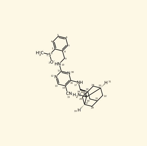 C[S+]([O-])c1ccccc1CNc1ncc(C#N)c(NC[C@]23CC4C[C@H](C2)[C@@H](N)[C@@H](C4)C3)n1